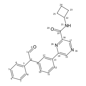 O=CC(c1ccccc1)c1cccc(-c2cncc(C(=O)NC3CCC3)n2)c1